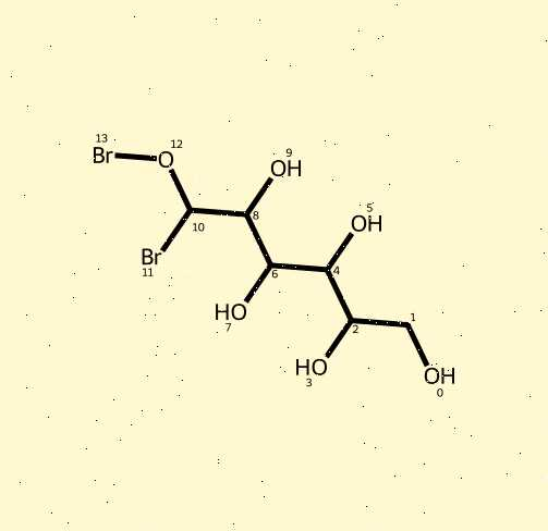 OCC(O)C(O)C(O)C(O)C(Br)OBr